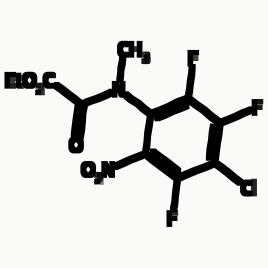 CCOC(=O)C(=O)N(C)c1c(F)c(F)c(Cl)c(F)c1[N+](=O)[O-]